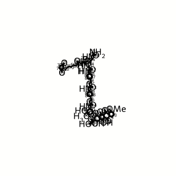 COc1cccc2c1C(=O)c1c(O)c3c(c(O)c1C2=O)C[C@@](O)(C(=O)CO)CC3O[C@H]1C[C@@H](NC(=O)OCc2ccc(NC(=O)OCc3ccc(NC(=O)[C@H](CCCNC(N)=O)NC(=O)[C@@H](NC(=O)CCCCCN4C(=O)C=CC4=O)C(C)C)cc3)cc2)[C@H](O)[C@@H](C)O1